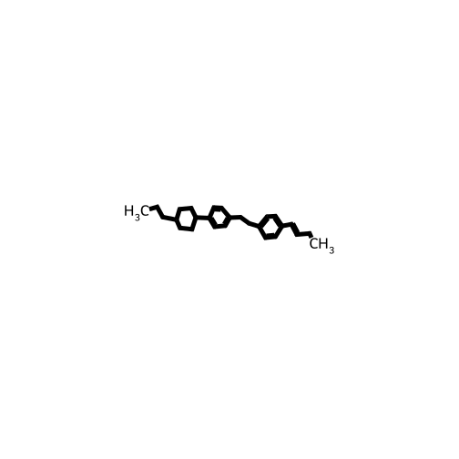 CC/C=C/c1ccc(CCc2ccc(C3CCC(CCC)CC3)cc2)cc1